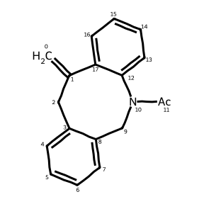 C=C1Cc2ccccc2CN(C(C)=O)c2ccccc21